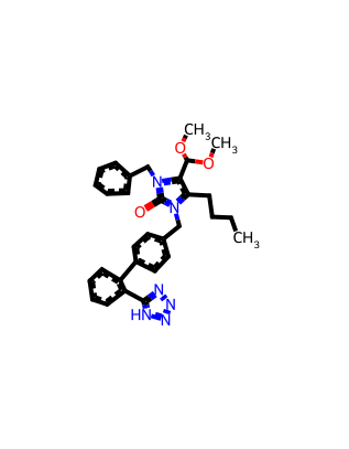 CCCCc1c(C(OC)OC)n(Cc2ccccc2)c(=O)n1Cc1ccc(-c2ccccc2-c2nnn[nH]2)cc1